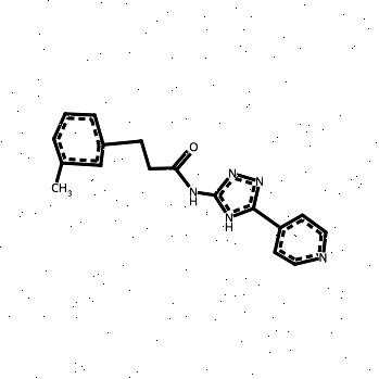 Cc1cccc(CCC(=O)Nc2nnc(-c3ccncc3)[nH]2)c1